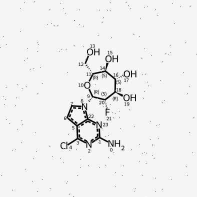 Nc1nc(Cl)c2ccn([C@@H]3O[C@H](CO)[C@@H](O)[C@H](O)[C@@H](O)[C@@H]3F)c2n1